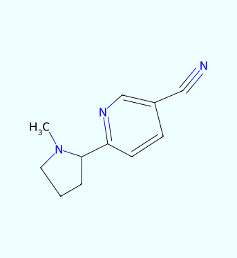 CN1CCCC1c1ccc(C#N)cn1